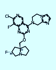 Fc1c(Cl)ncc2c(N3CCn4ccnc4C3)nc(OC[C@@]34CCCN3C[C@H](F)C4)nc12